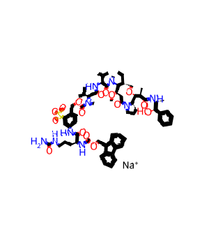 CC[C@H](C)[C@@H]([C@@H](CC(=O)N1CCC[C@H]1[C@H](OC)[C@@H](C)C(=O)N[C@H](C)[C@@H](O)c1ccccc1)OC)N(C)C(=O)[C@@H](NC(=O)[C@H](C(C)C)N(C)C(=O)OCc1ccc(NC(=O)[C@H](CCCNC(N)=O)NC(=O)OCC2c3ccccc3-c3ccccc32)cc1S(=O)(=O)[O-])C(C)C.[Na+]